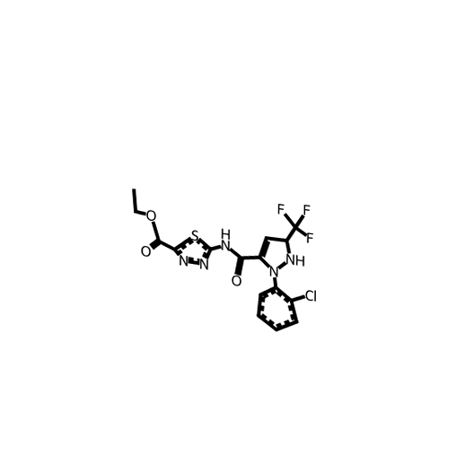 CCOC(=O)c1nnc(NC(=O)C2=CC(C(F)(F)F)NN2c2ccccc2Cl)s1